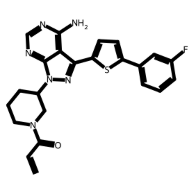 C=CC(=O)N1CCCC(n2nc(-c3ccc(-c4cccc(F)c4)s3)c3c(N)ncnc32)C1